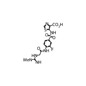 CNC(=N)NCC(=O)Nc1ccc(S(=O)(=O)Nc2scnc2C(=O)O)cc1F